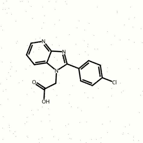 O=C(O)Cn1c(-c2ccc(Cl)cc2)nc2ncccc21